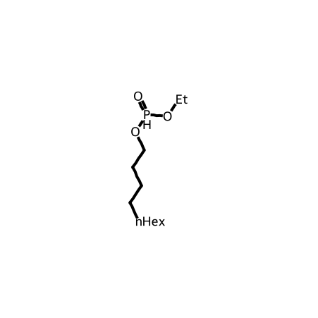 CCCCCCCCCCO[PH](=O)OCC